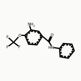 Nc1cc(C(=O)Nc2ccccc2)ccc1OC(F)(F)F